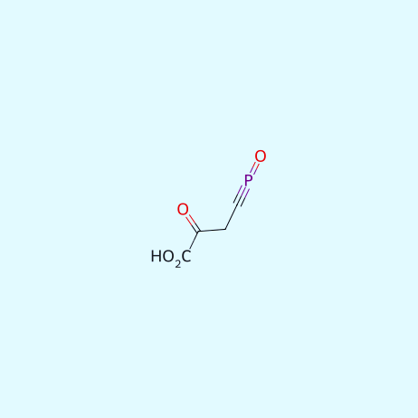 O=P#CCC(=O)C(=O)O